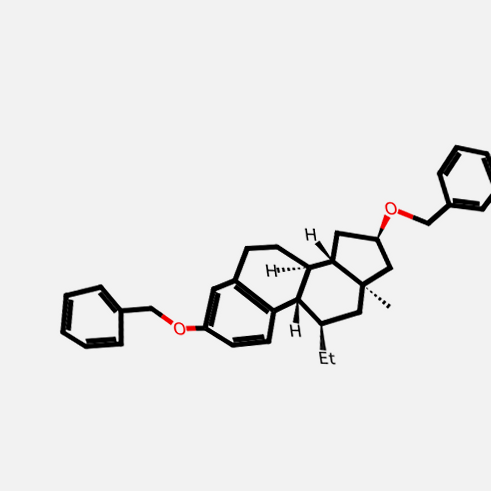 CC[C@@H]1C[C@]2(C)C[C@H](OCc3ccccc3)C[C@H]2[C@@H]2CCc3cc(OCc4ccccc4)ccc3[C@@H]12